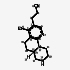 CCc1c(CCC#N)cnc2c1CC[C@@H]1CNCCN21